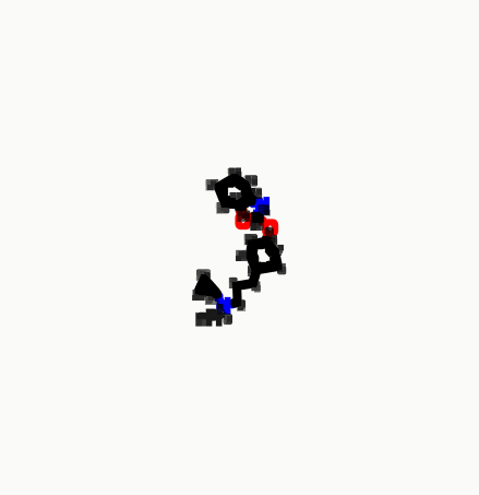 CCCN(CCCc1ccc(Oc2nc3ccccc3o2)cc1)C1CC1